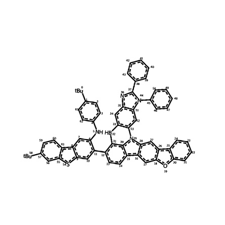 CC(C)(C)c1ccc(Nc2cc3c(cc2-c2ccc4c5cc6oc7ccccc7c6cc5n5c4c2Bc2cc4nc(-c6ccccc6)n(-c6ccccc6)c4cc2-5)sc2cc(C(C)(C)C)ccc23)cc1